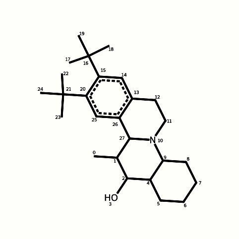 CC1C(O)C2CCCCC2N2CCc3cc(C(C)(C)C)c(C(C)(C)C)cc3C12